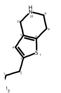 CC[CH]c1cc2c(s1)CCNC2